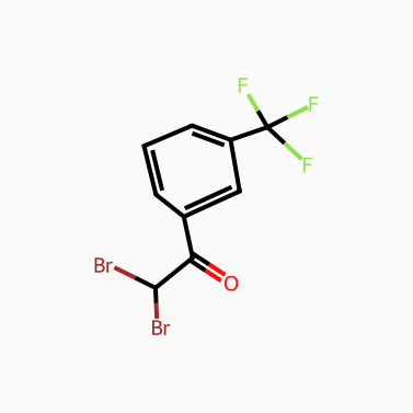 O=C(c1cccc(C(F)(F)F)c1)C(Br)Br